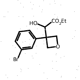 CCOC(=O)C(O)C1(c2cccc(Br)c2)COC1